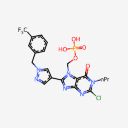 CCCn1c(Cl)nc2nc(-c3cnn(Cc4cccc(C(F)(F)F)c4)c3)n(COP(=O)(O)O)c2c1=O